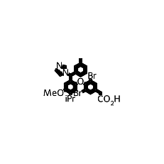 COc1cc(C(c2cccc(C)c2)n2ccnc2)c(Oc2c(Br)cc(CC(=O)O)cc2Br)cc1C(C)C